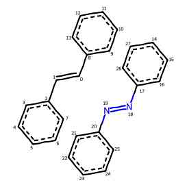 C(=Cc1ccccc1)c1ccccc1.c1ccc(N=Nc2ccccc2)cc1